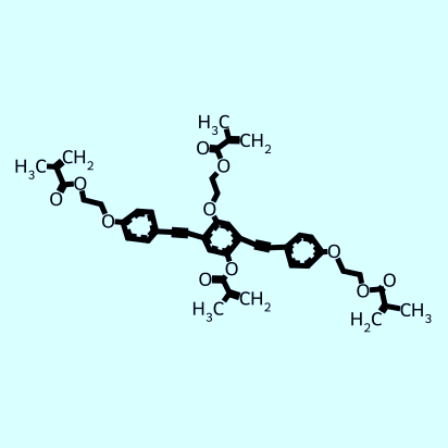 C=C(C)C(=O)OCCOc1ccc(C#Cc2cc(OC(=O)C(=C)C)c(C#Cc3ccc(OCCOC(=O)C(=C)C)cc3)cc2OCCOC(=O)C(=C)C)cc1